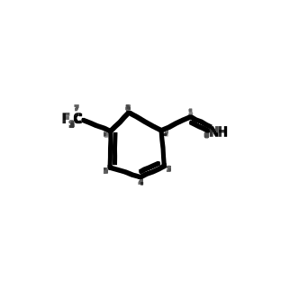 N=CC1C=CC=C(C(F)(F)F)C1